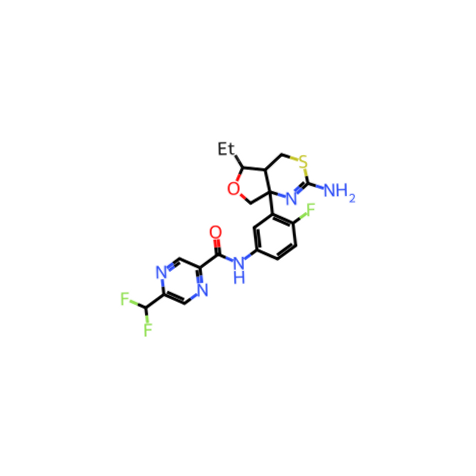 CCC1OCC2(c3cc(NC(=O)c4cnc(C(F)F)cn4)ccc3F)N=C(N)SCC12